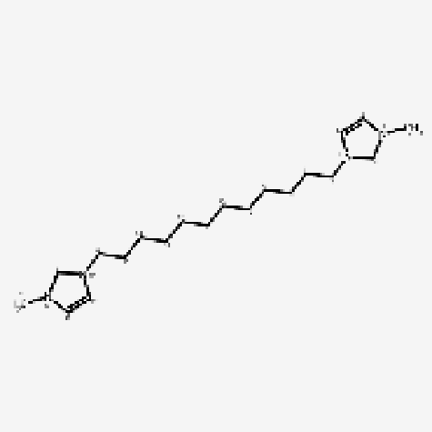 CN1C=CN(CCCCCCCCCCCCN2C=CN(C)C2)C1